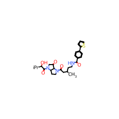 CC(CCNC(=O)c1ccc(-c2cccs2)cc1)CC(=O)N1CCC2C1C(=O)CN2C(=O)C(O)C(C)C